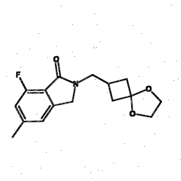 Cc1cc(F)c2c(c1)CN(CC1CC3(C1)OCCO3)C2=O